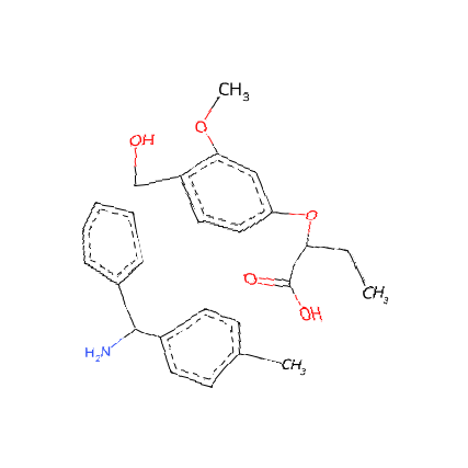 CCC(Oc1ccc(CO)c(OC)c1)C(=O)O.Cc1ccc(C(N)c2ccccc2)cc1